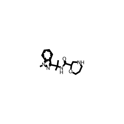 Cn1nc(C(C)(C)NC(=O)C2CNCCCO2)c2ccccc21